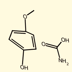 COc1ccc(O)cc1.NC(=O)O